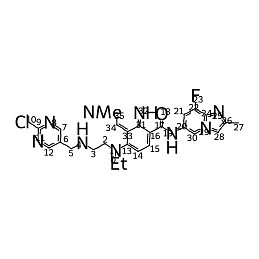 CCN(CCNCc1cnc(Cl)nc1)C1=CC=C(C(=O)Nc2cc(F)c3nc(C)cn3c2)C(=N)/C1=C\NC